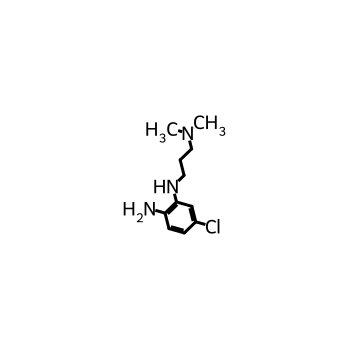 CN(C)CCCNc1cc(Cl)ccc1N